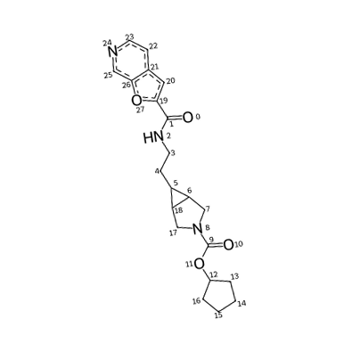 O=C(NCCC1C2CN(C(=O)OC3CCCC3)CC12)c1cc2ccncc2o1